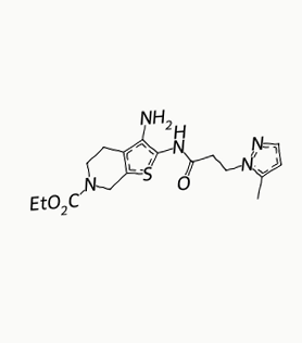 CCOC(=O)N1CCc2c(sc(NC(=O)CCn3nccc3C)c2N)C1